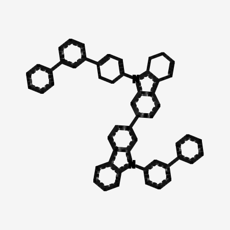 C1=Cc2c(n(C3=CC=C(c4cccc(-c5ccccc5)c4)CC3)c3cc(-c4ccc5c6ccccc6n(-c6cccc(-c7ccccc7)c6)c5c4)ccc23)CC1